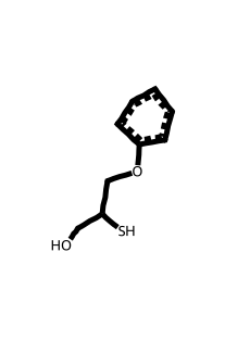 OCC(S)COc1ccccc1